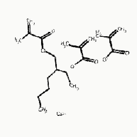 C=C(C)C(=O)OCC(CC)CCCC.C=C(C)C(=O)[O-].C=C(C)C(=O)[O-].[Ca+2]